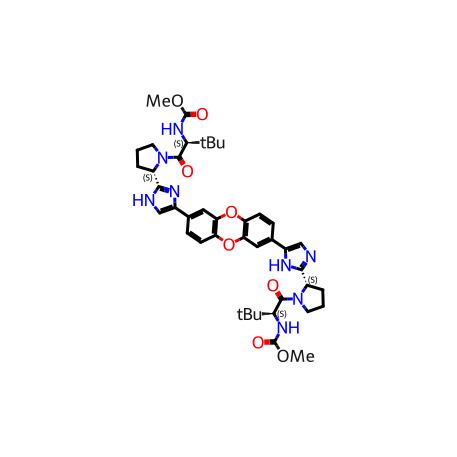 COC(=O)N[C@H](C(=O)N1CCC[C@H]1c1nc(-c2ccc3c(c2)Oc2ccc(-c4cnc([C@@H]5CCCN5C(=O)[C@@H](NC(=O)OC)C(C)(C)C)[nH]4)cc2O3)c[nH]1)C(C)(C)C